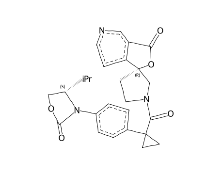 CC(C)[C@H]1COC(=O)N1c1ccc(C2(C(=O)N3CC[C@@]4(C3)OC(=O)c3cnccc34)CC2)cc1